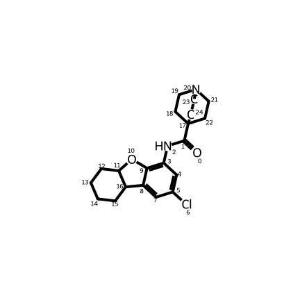 O=C(Nc1cc(Cl)cc2c1OC1CCCCC21)C12CCN(CC1)CC2